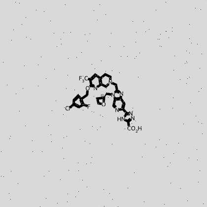 O=C(O)c1nnc(-c2cc3nc(CN4CCc5cc(C(F)(F)F)c(OCc6ccc(Cl)cc6F)nc5C4)n(C[C@@H]4CCO4)c3cn2)[nH]1